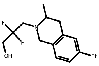 CCc1ccc2c(c1)CC(C)N(CC(F)(F)CO)C2